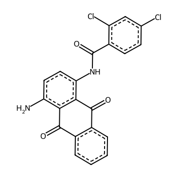 Nc1ccc(NC(=O)c2ccc(Cl)cc2Cl)c2c1C(=O)c1ccccc1C2=O